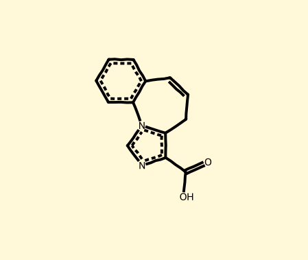 O=C(O)c1ncn2c1CC=Cc1ccccc1-2